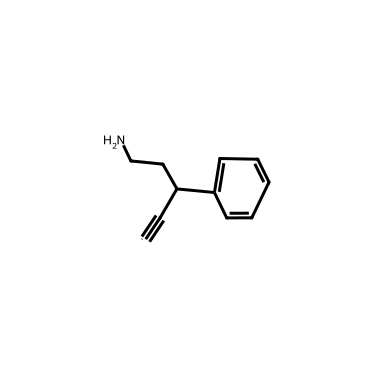 [C]#CC(CCN)c1ccccc1